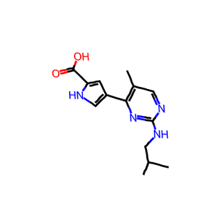 Cc1cnc(NCC(C)C)nc1-c1c[nH]c(C(=O)O)c1